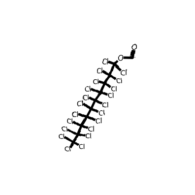 O=[C]OC(Cl)(Cl)C(Cl)(Cl)C(Cl)(Cl)C(Cl)(Cl)C(Cl)(Cl)C(Cl)(Cl)C(Cl)(Cl)C(Cl)(Cl)C(Cl)(Cl)C(Cl)(Cl)Cl